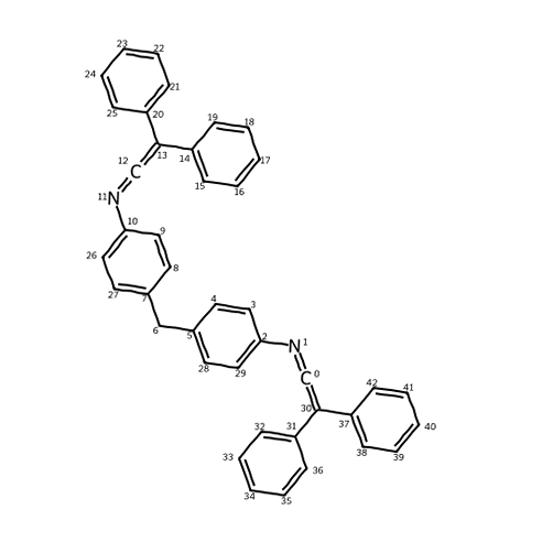 C(=Nc1ccc(Cc2ccc(N=C=C(c3ccccc3)c3ccccc3)cc2)cc1)=C(c1ccccc1)c1ccccc1